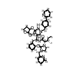 CC[C@H](C)[C@@H](C(=O)N[C@@H](Cc1ccccc1)[C@@H](O)CN(Cc1ccc(-c2ccccn2)cc1)NC(=O)OC1CCOC1=O)N1CCN(Cc2cccc(C)n2)C1=O